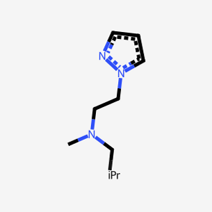 CC(C)CN(C)CCn1cccn1